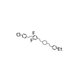 CCc1ccc(CCC2CCC(CCc3cc(F)c(CCc4ccc(Cl)cc4)c(F)c3)CC2)cc1